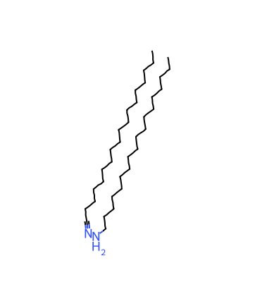 CCCCCCCCCCCCCCCCCC#N.CCCCCCCCCCCCCCCCCCN